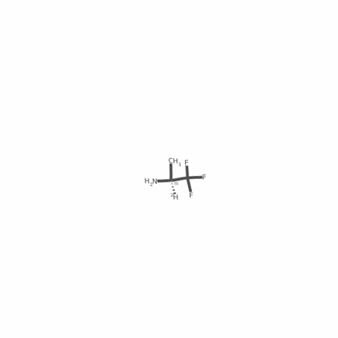 [2H][C@@](C)(N)C(F)(F)F